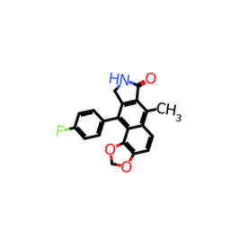 Cc1c2c(c(-c3ccc(F)cc3)c3c4c(ccc13)OCO4)CNC2=O